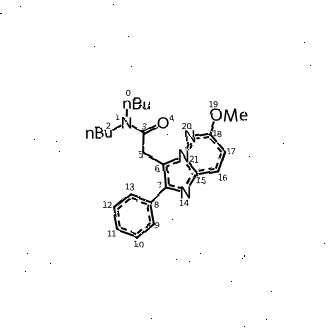 CCCCN(CCCC)C(=O)Cc1c(-c2ccccc2)nc2ccc(OC)nn12